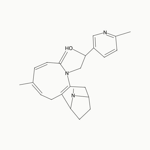 C=C1/C=C\C(C)=C/CC2=C(CC3CCC2N3C)N1CC(O)c1ccc(C)nc1